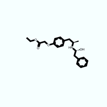 CCOC(=O)COc1ccc(C[C@@H](C)N[C@H](O)Cc2ccccc2)cc1